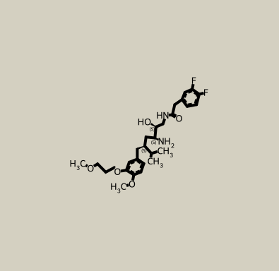 COCCCOc1cc(C[C@@H](C[C@H](N)[C@@H](O)CNC(=O)Cc2ccc(F)c(F)c2)C(C)C)ccc1OC